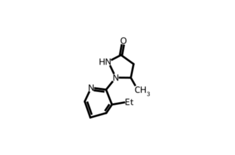 CCc1cccnc1N1NC(=O)CC1C